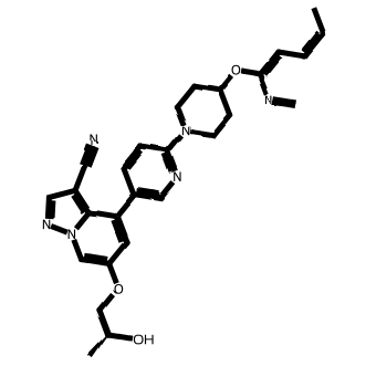 C=N/C(=C\C=C/C)OC1CCN(c2ccc(-c3cc(OC[C@H](C)O)cn4ncc(C#N)c34)cn2)CC1